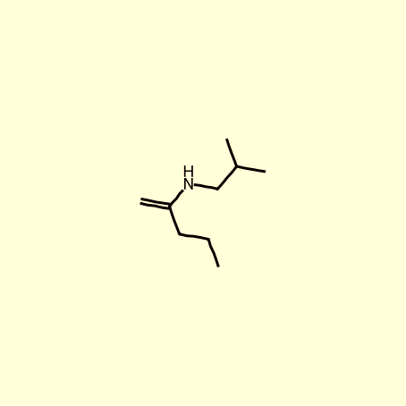 C=C(CCC)NCC(C)C